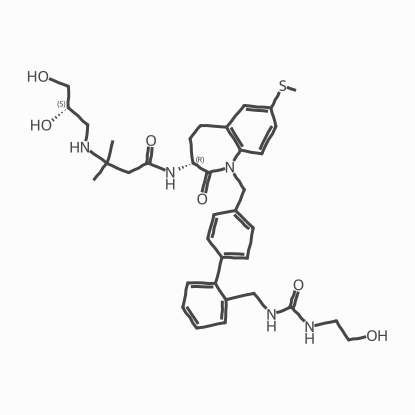 CSc1ccc2c(c1)CC[C@@H](NC(=O)CC(C)(C)NC[C@H](O)CO)C(=O)N2Cc1ccc(-c2ccccc2CNC(=O)NCCO)cc1